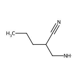 CCCC(C#N)C[NH]